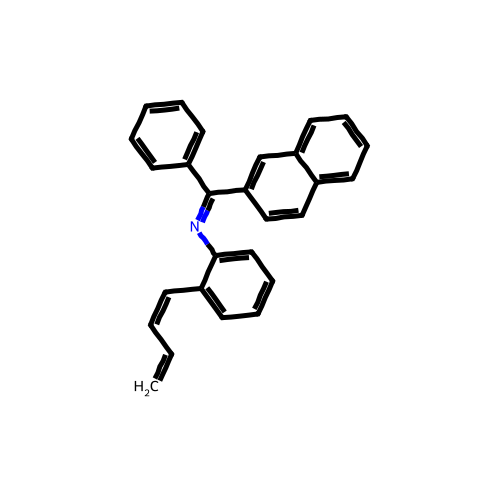 C=C/C=C\c1ccccc1/N=C(/c1ccccc1)c1ccc2ccccc2c1